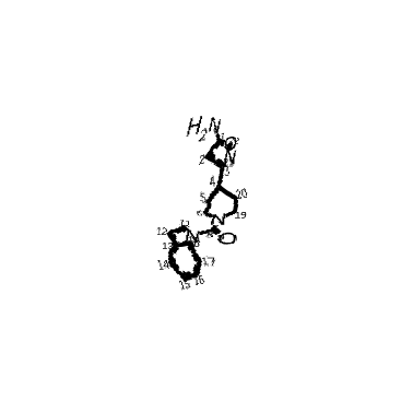 Nc1cc(C2CCN(C(=O)n3ccc4ccccc43)CC2)no1